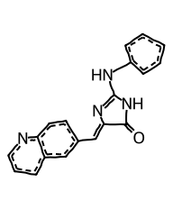 O=C1NC(Nc2ccccc2)=N/C1=C\c1ccc2ncccc2c1